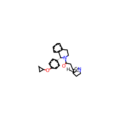 O=C(C[C@@H]1CN2CCC1CC2)N1CCc2ccccc2[C@H]1c1ccc(OC2CC2)cc1